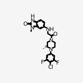 C[C@@H]1CN(C(=O)CNc2ccc3[nH]c(=O)n(C)c3c2)CCN1c1cc(F)c(Cl)c(F)c1